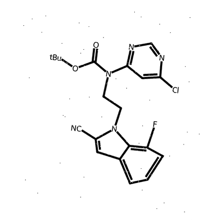 CC(C)(C)OC(=O)N(CCn1c(C#N)cc2cccc(F)c21)c1cc(Cl)ncn1